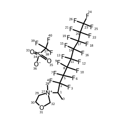 CC(C(F)(F)C(F)(F)C(F)(F)C(F)(F)C(F)(F)C(F)(F)C(F)(F)C(F)(F)F)[N+]1(C)CCOC1.O=S(=O)([O-])C(F)(F)F